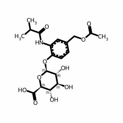 CC(=O)OCc1ccc(O[C@@H]2O[C@H](C(=O)O)[C@@H](O)[C@H](O)[C@H]2O)c(NC(=O)C(C)C)c1